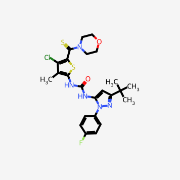 Cc1c(NC(=O)Nc2cc(C(C)(C)C)nn2-c2ccc(F)cc2)sc(C(=S)N2CCOCC2)c1Cl